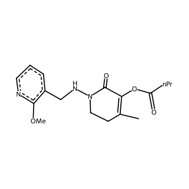 CCCC(=O)OC1=C(C)CCN(NCc2cccnc2OC)C1=O